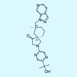 CC(C)(O)c1cnc(N2CC(=O)[C@]3(CCC[C@](C)(Cn4ncc5ccncc54)C3)C2)cn1